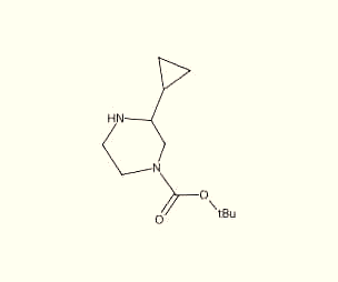 CC(C)(C)OC(=O)N1CCNC(C2CC2)C1